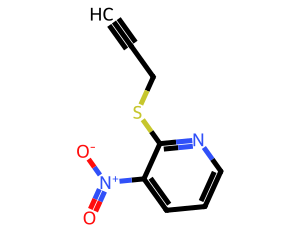 C#CCSc1ncccc1[N+](=O)[O-]